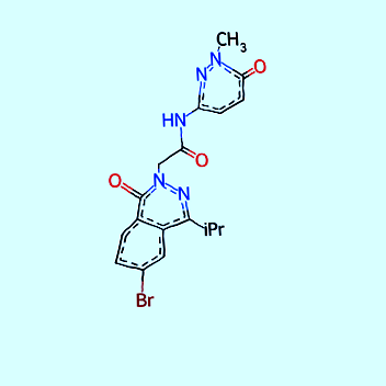 CC(C)c1nn(CC(=O)Nc2ccc(=O)n(C)n2)c(=O)c2ccc(Br)cc12